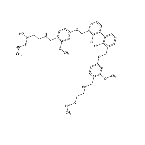 CNSCCNCc1ccc(OCc2cccc(-c3cccc(COc4ccc(CNCCN(O)SNC)c(OC)n4)c3Cl)c2Cl)nc1OC